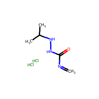 C=NC(=O)NNC(C)C.Cl.Cl